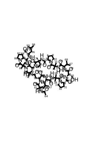 CC[C@@](C)(NC(=O)[C@@H]1CCCN1C(=O)C(C)(C)NC(=O)[C@@H](NC(=O)[C@H](CO)NC(=O)[C@@H]1CCCN1C(=O)C(C)(C)NC(=O)[C@H](CC(C)C)NC(=O)[C@H](CC(N)=O)NC(=O)C(C)(C)NC(C)=O)C(C)C)C(=O)N[C@@H](CC(C)C)C(=O)NC(C)(C)C(=O)N1CCC[C@H]1C(=O)N[C@H](CO)CC(C)C